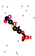 C=COC(O)CCOc1ccc2c(c1)C(C)c1cc(SC(=O)c3ccc(N4C(=O)C=CC4=O)cc3)ccc1-2